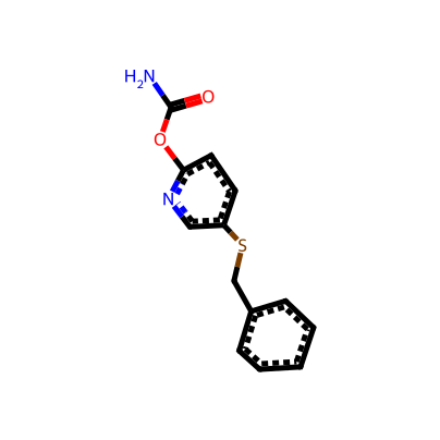 NC(=O)Oc1ccc(SCc2ccccc2)cn1